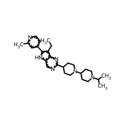 CCc1c(-c2ccnc(C)c2)[nH]c2cnc(C3CCN(C4CCN(C(C)C)CC4)CC3)nc12